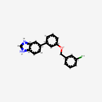 Fc1cccc(COc2cccc(-c3ccc4[nH]cnc4c3)c2)c1